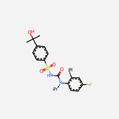 CC(C)c1cc(F)ccc1N(C(=O)NS(=O)(=O)c1ccc(C(C)(C)O)cc1)C(C)C